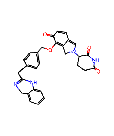 O=C1CCC(N2C=C3C=CC(=O)C(OCc4ccc(CC5=NCc6ccccc6N5)cc4)=C3C2)C(=O)N1